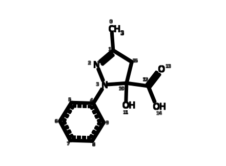 CC1=NN(c2ccccc2)C(O)(C(=O)O)C1